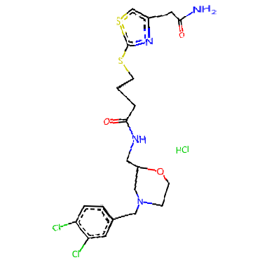 Cl.NC(=O)Cc1csc(SCCCC(=O)NCC2CN(Cc3ccc(Cl)c(Cl)c3)CCO2)n1